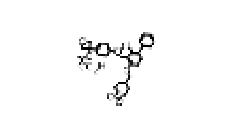 CC(OC1(c2ccc(OCc3c(OCC4CCS(=O)(=O)CC4)ccc(-c4ccccc4)c3Cl)cc2)COC1)C(=O)O